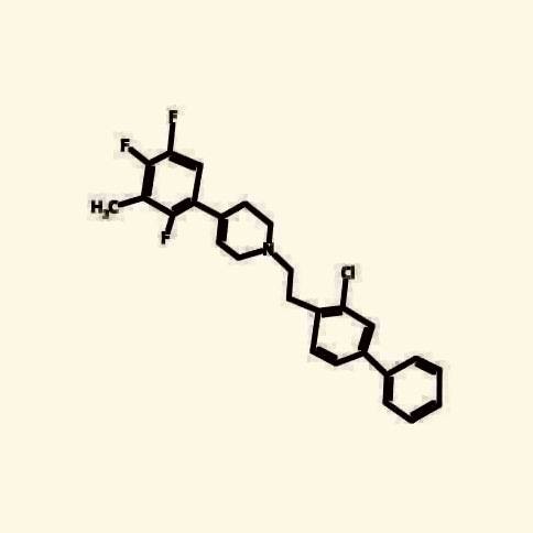 Cc1c(F)c(F)cc(C2=CCN(CCc3ccc(-c4ccccc4)cc3Cl)CC2)c1F